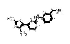 Cc1nc(C)c(-c2ccnc(Nc3cccc(CN)c3)n2)s1